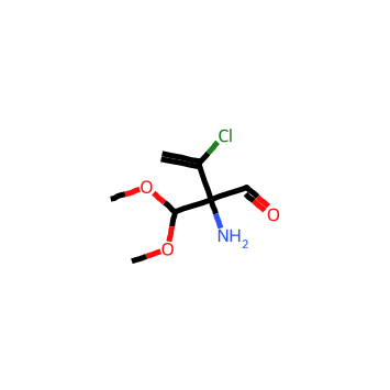 C=C(Cl)C(N)(C=O)C(OC)OC